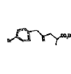 CCOC(=O)C(C)CNCc1ccc(Br)cc1